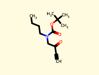 C#CC(=O)CN(CCCC)C(=O)OC(C)(C)C